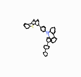 c1ccc(-c2ccc(-c3ccc(N(c4ccc(-c5ccc6ccc7c8ccccc8sc7c6c5)cc4)c4ccccc4-c4ccccc4)cc3)cc2)cc1